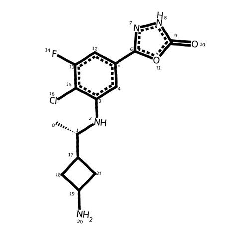 C[C@H](Nc1cc(-c2n[nH]c(=O)o2)cc(F)c1Cl)C1CC(N)C1